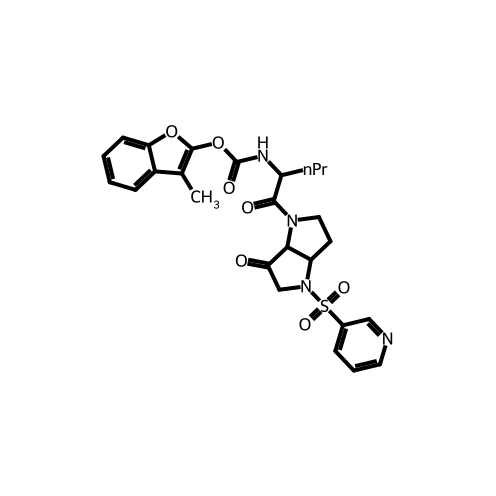 CCCC(NC(=O)Oc1oc2ccccc2c1C)C(=O)N1CCC2C1C(=O)CN2S(=O)(=O)c1cccnc1